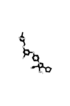 Cc1ncc(COc2cc(F)cc(Oc3ccc(-n4cc(C5CCCC5)c(N)c4C#N)cc3)c2)s1